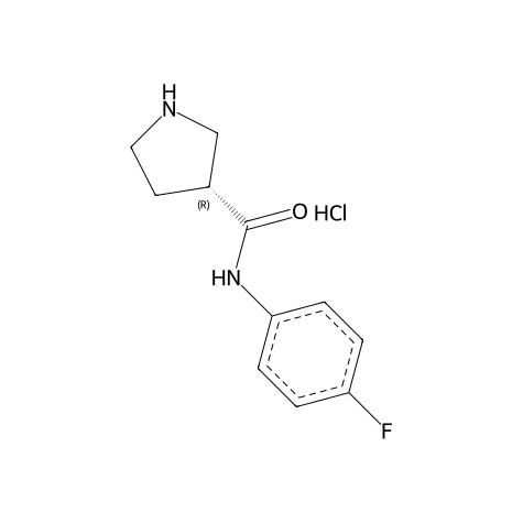 Cl.O=C(Nc1ccc(F)cc1)[C@@H]1CCNC1